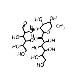 C[C@@H]1OC(C(=O)C(O)C(O)C(O)C(O)CO)[C@H](O)[C@H](O)[C@H]1O.O=CC(O)C(O)C(O)C(O)CO